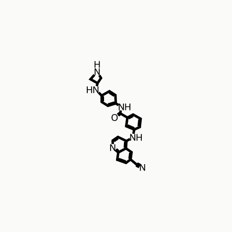 N#Cc1ccc2nccc(Nc3cccc(C(=O)Nc4ccc(NC5CNC5)cc4)c3)c2c1